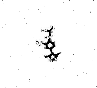 Cc1noc(C)c1-c1ccc(NCC(C)O)c([N+](=O)[O-])c1